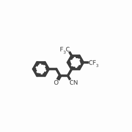 N#CC(C(=O)Cc1ccccc1)c1cc(C(F)(F)F)cc(C(F)(F)F)c1